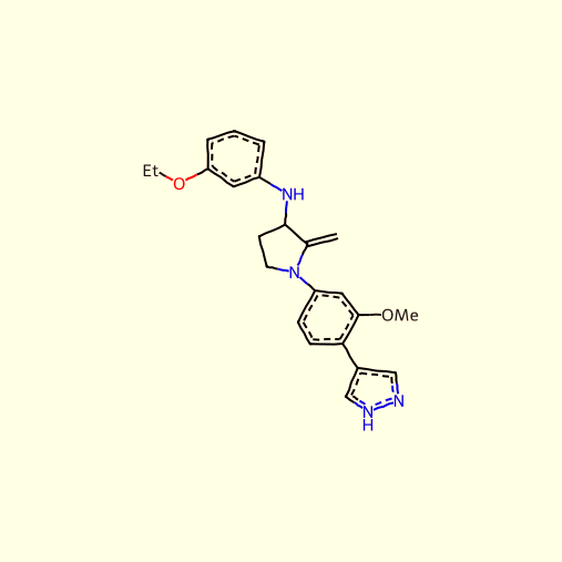 C=C1C(Nc2cccc(OCC)c2)CCN1c1ccc(-c2cn[nH]c2)c(OC)c1